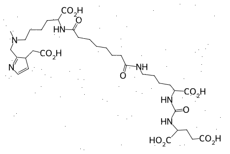 CN(CCCCC(NC(=O)CCCCCCC(=O)NCCCCC(NC(=O)NC(CCC(=O)O)C(=O)O)C(=O)O)C(=O)O)CC1=NC=CC1CC(=O)O